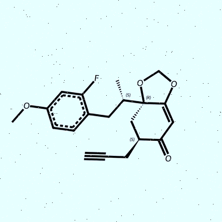 C#CC[C@H]1C[C@]2([C@@H](C)Cc3ccc(OC)cc3F)OCOC2=CC1=O